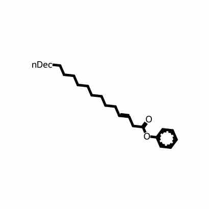 CCCCCCCCCCCCCCCCCCC/C=C/CC(=O)Oc1ccccc1